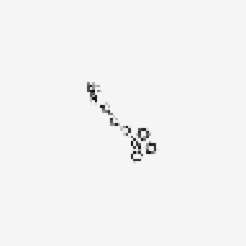 [N-]=[N+]=NCCOCCOCCOCCOC(c1ccccc1)(c1ccccc1)c1ccccc1